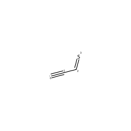 [C]#CC=S